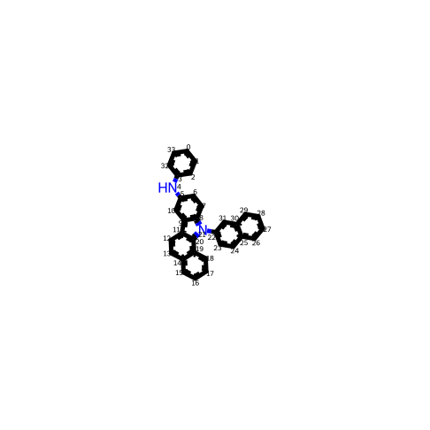 c1ccc(Nc2ccc3c(c2)c2ccc4ccccc4c2n3-c2ccc3ccccc3c2)cc1